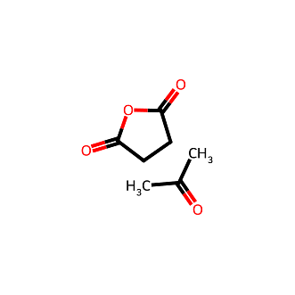 CC(C)=O.O=C1CCC(=O)O1